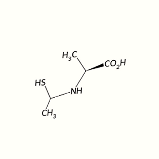 CC(S)N[C@@H](C)C(=O)O